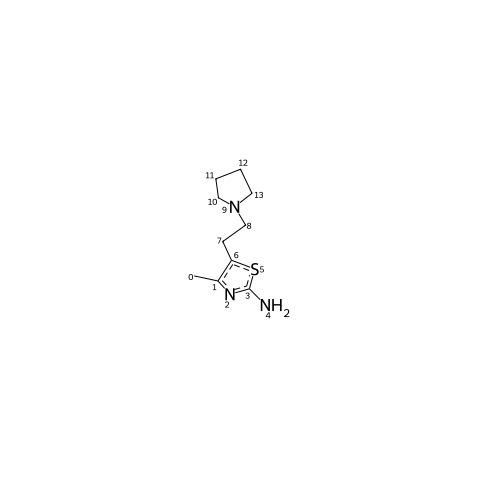 Cc1nc(N)sc1CCN1CCCC1